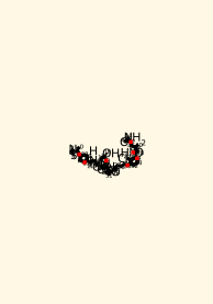 Cc1ncsc1-c1ccc([C@H](C)NC(=O)[C@@H]2C[C@@H](O)CN2C(=O)[C@@H](NC(=O)CCCCc2cccc(NC(=O)C(C)CCC(N)=O)c2Cl)C(C)(C)C)cc1